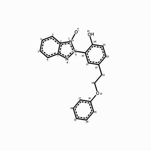 [O-][n+]1c2ccccc2nn1-c1cc(CCOc2ccccc2)ccc1O